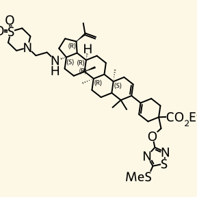 C=C(C)[C@@H]1CC[C@]2(NCCN3CCS(=O)(=O)CC3)CC[C@]3(C)[C@H](CCC4[C@@]5(C)CC=C(C6=CCC(COc7nsc(SC)n7)(C(=O)OCC)CC6)C(C)(C)C5CC[C@]43C)C12